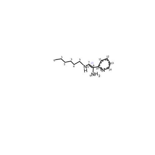 CCCCCCN/C=C(\N)c1ccccn1